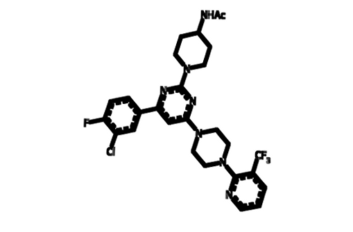 CC(=O)NC1CCN(c2nc(-c3ccc(F)c(Cl)c3)cc(N3CCN(c4ncccc4C(F)(F)F)CC3)n2)CC1